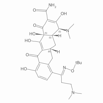 CN(C)CCC(=NOC(C)(C)C)c1ccc(O)c2c1C[C@H]1C[C@H]3[C@H](N(C)C)C(O)=C(C(N)=O)C(=O)[C@@]3(O)C(O)=C1C2=O